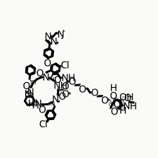 COC[C@@H]1NC(=O)[C@H](CCCNC(=O)OCCOCCOCCOC[C@@]23CO[C@H](O2)[C@H](NC(C)=O)[C@@H](O)[C@H]3O)N(Cc2ccc(Cl)cc2Oc2ccc(-c3cnc(CN(C)C)n3C)cc2)C(=O)C[C@@H](Cc2ccccc2)C(=O)N(C)[C@H]2CCCC[C@@H]2NC(=O)C[C@H](Cc2ccc(Cl)cc2)N(C)C1=O